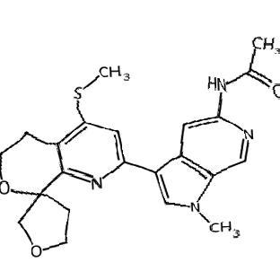 CSc1cc(-c2cn(C)c3cnc(NC(C)=O)cc23)nc2c1CCOC21CCOC1